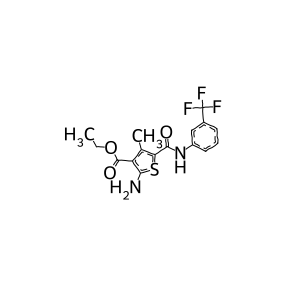 CCOC(=O)c1c(N)sc(C(=O)Nc2cccc(C(F)(F)F)c2)c1C